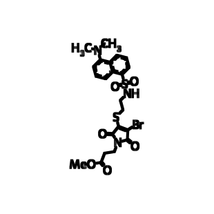 COC(=O)CCN1C(=O)C(Br)=C(SCCNS(=O)(=O)c2cccc3c(N(C)C)cccc23)C1=O